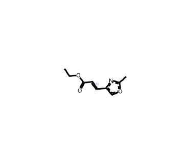 CCOC(=O)/C=C/c1coc(C)n1